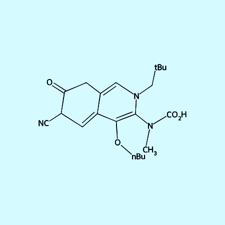 CCCCOC1=C(N(C)C(=O)O)N(CC(C)(C)C)C=C2CC(=O)C(C#N)C=C21